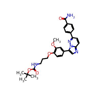 COc1cc(-c2cnc3ccc(-c4ccc(C(N)=O)cc4)nn23)ccc1OCCCNC(=O)OC(C)(C)C